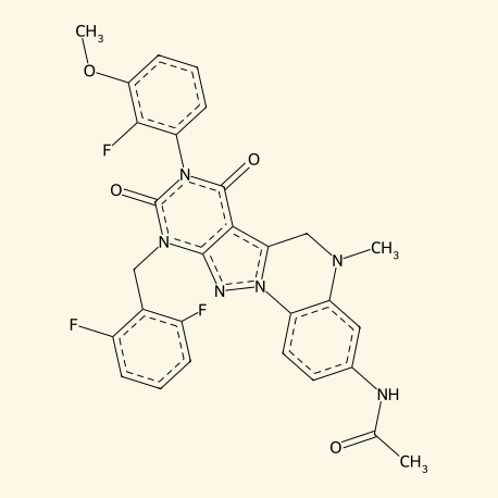 COc1cccc(-n2c(=O)c3c4n(nc3n(Cc3c(F)cccc3F)c2=O)-c2ccc(NC(C)=O)cc2N(C)C4)c1F